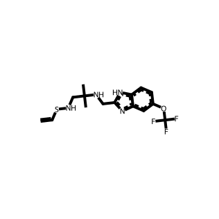 C=CSNCC(C)(C)NCc1nc2cc(OC(F)(F)F)ccc2[nH]1